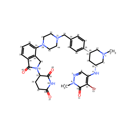 CN1C[C@H](Nc2cnn(C)c(=O)c2Br)C[C@H](c2ccc(CN3CCN(c4cccc5c4CN(C4CCC(=O)NC4=O)C5=O)CC3)cc2)C1